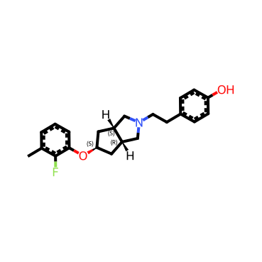 Cc1cccc(O[C@H]2C[C@@H]3CN(CCc4ccc(O)cc4)C[C@@H]3C2)c1F